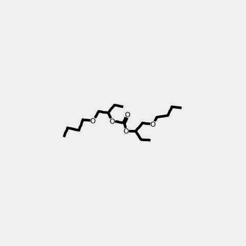 CCCCOCC(CC)OC(=O)OC(CC)COCCCC